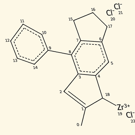 CC1=Cc2c(cc3c(c2-c2ccccc2)CCC3)[CH]1[Zr+3].[Cl-].[Cl-].[Cl-]